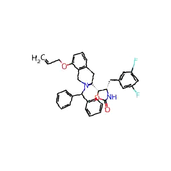 C=CCOc1cccc2c1CN(C(c1ccccc1)c1ccccc1)C([C@H]1OC(=O)N[C@H]1Cc1cc(F)cc(F)c1)C2